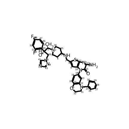 C[C@H](N1CCC(NCc2cc3c(nc(N)c(=O)n3-c3ccc4c(c3)N(c3ccccc3)CCO4)s2)CC1)[C@@](O)(Cn1cncn1)c1ccc(F)cc1F